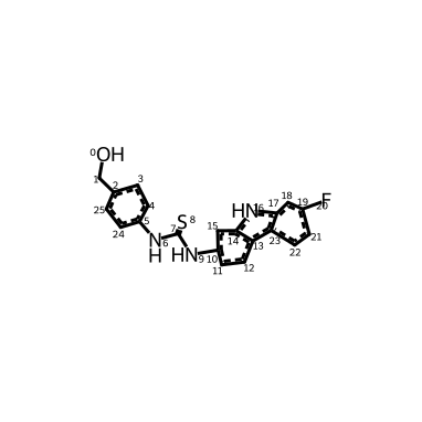 OCc1ccc(NC(=S)Nc2ccc3c(c2)[nH]c2cc(F)ccc23)cc1